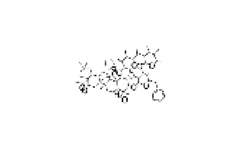 CCC1O[C@@H](OC2[C@H](O[C@H]3CCC4(C)C5CC=C6C7CC(C)(C)CC[C@]7(C(C)=O)C(OC)C[C@@]6(C)[C@@]5(C)CC[C@H]4[C@@]3(C)C=O)OC(Cc3ccccc3)[C@@H](C)[C@@H]2O[C@@H]2O[C@@H](C)[C@H](C)C(C)C2C)C(O[Si](CC)(CC)CC)[C@@H](C)[C@H]1C